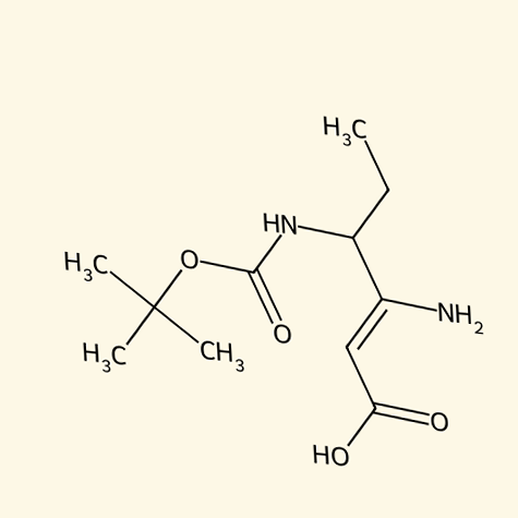 CCC(NC(=O)OC(C)(C)C)C(N)=CC(=O)O